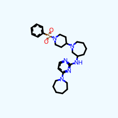 O=S(=O)(c1ccccc1)N1CCC(N2CCCCC(Nc3nccc(N4CCCCCC4)n3)C2)CC1